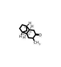 CC1C[C@H]2[C@@H]3CC[C@@H](C3)[C@H]2CC1=O